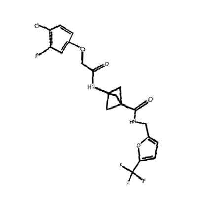 O=C(COc1ccc(Cl)c(F)c1)NC12CC(C(=O)NCc3ccc(C(F)(F)F)o3)(C1)C2